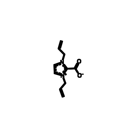 C=CCn1cc[n+](CC=C)c1C(=O)[O-]